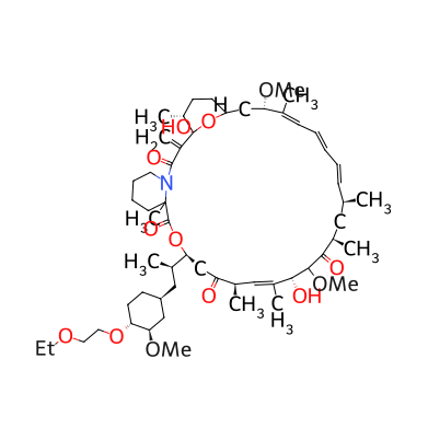 C=C1C(=O)N2CCCCC2(C)C(=O)O[C@H]([C@H](C)C[C@@H]2CC[C@@H](OCCOCC)[C@H](OC)C2)CC(=O)[C@H](C)/C=C(\C)[C@@H](O)C(OC)C(=O)[C@H](C)C[C@H](C)/C=C/C=C/C=C(\C)[C@@H](OC)C[C@@H]2CC[C@@H](C)[C@@]1(O)O2